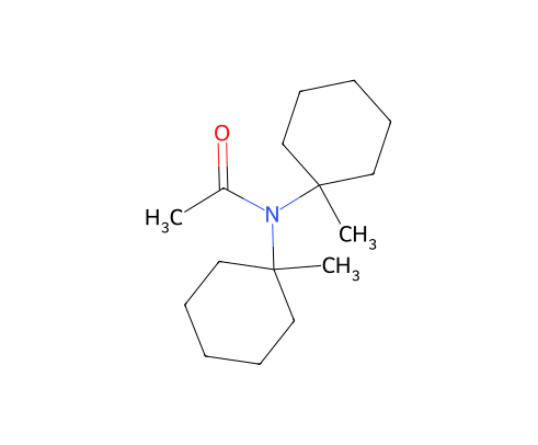 CC(=O)N(C1(C)CCCCC1)C1(C)CCCCC1